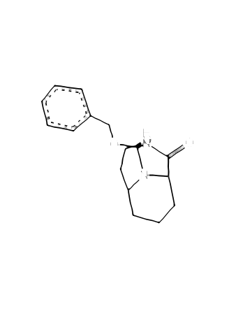 O=C1NCCC2CCCC1N2C(=O)OCc1ccccc1